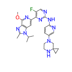 COc1nc(-c2nc(Nc3ccc(N4CCNC5(CC5)C4)cn3)ncc2F)cc2c1nc(C)n2C(C)C